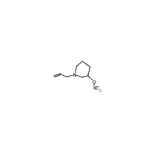 C=CCN1CCCC(O[N+](=O)[O-])C1